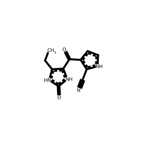 CCc1[nH]c(=O)[nH]c1C(=O)c1cc[nH]c1C#N